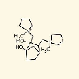 C[N+]1(CC2C3CCC(O)(C3)C2(O)C[N+]2(C)CCCC2)CCCC1